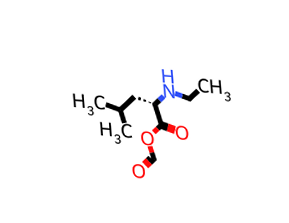 CCN[C@@H](CC(C)C)C(=O)OC=O